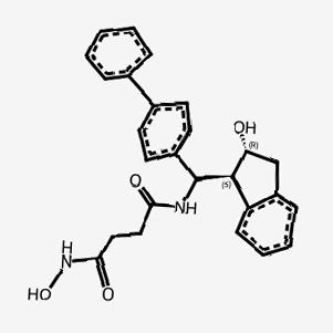 O=C(CCC(=O)NC(c1ccc(-c2ccccc2)cc1)[C@@H]1c2ccccc2C[C@H]1O)NO